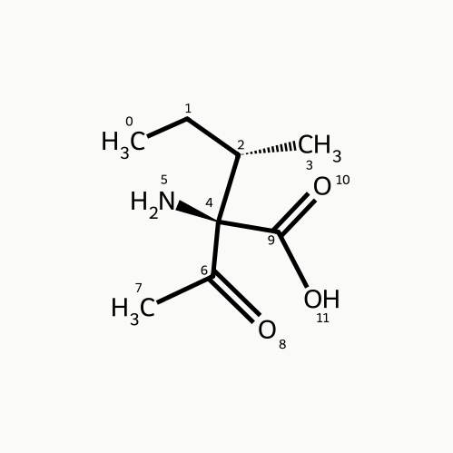 CC[C@H](C)[C@@](N)(C(C)=O)C(=O)O